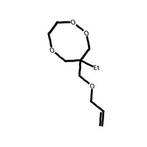 C=CCOCC1(CC)COCCOOC1